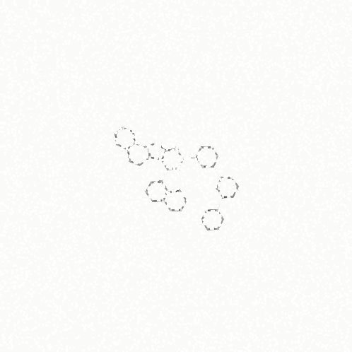 c1ccc(-c2cccc(-c3cccc(-c4nc(-c5cccc6ccccc56)c5c(n4)oc4c6ccccc6ccc45)c3)c2)cc1